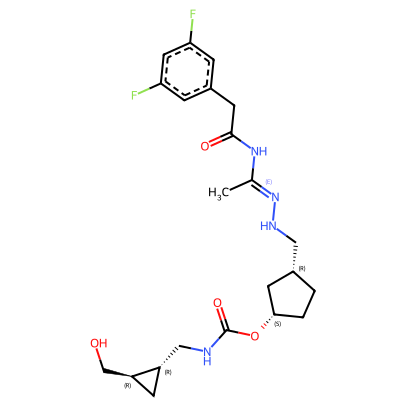 C/C(=N\NC[C@@H]1CC[C@H](OC(=O)NC[C@@H]2C[C@H]2CO)C1)NC(=O)Cc1cc(F)cc(F)c1